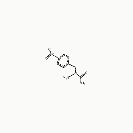 NC(=S)N(N)Cc1ccc([N+](=O)[O-])cc1